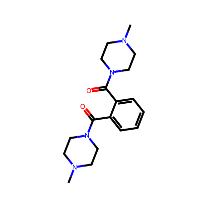 CN1CCN(C(=O)c2ccccc2C(=O)N2CCN(C)CC2)CC1